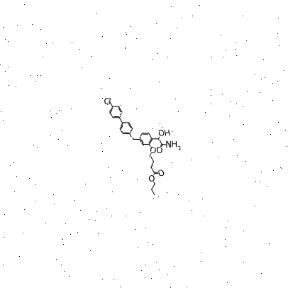 CCCOC(=O)CCCOc1cc(Cc2ccc(-c3ccc(Cl)cc3)cc2)ccc1C(O)C(N)=O